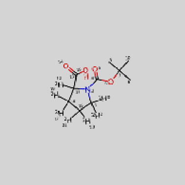 [2H]C1([2H])N(C(=O)OC(C)(C)C)C([2H])(C(=O)O)C([2H])([2H])C1([2H])[2H]